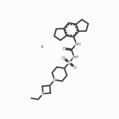 CCN1CC(N2CCC(S(=O)(=O)NC(=O)Nc3c4c(cc5c3CCC5)CCC4)CC2)C1.[K]